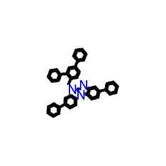 c1ccc(-c2ccc(Cn3c4cc(-c5ccccc5)ccc4n4c5ccc(-c6ccccc6)cc5nc34)c(-c3ccccc3)c2)cc1